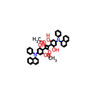 COOC1=C(c2c(O)cc(N(c3ccccc3)c3cccc4ccccc34)cc2O)C(OOC)=C1c1c(O)cc(N(c2ccccc2)c2cccc3ccccc23)cc1O